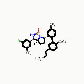 COc1ccc(CCC(=O)O)cc1-c1ccc(C(F)(F)F)cc1[C@@H]1CC[C@H]2[C@@H](c3cc(F)cc(C(F)(F)F)c3)N[S+]([O-])N12